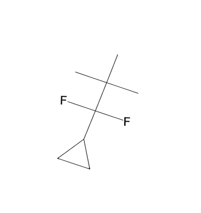 CC(C)(C)C(F)(F)C1CC1